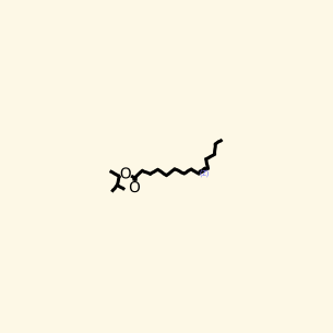 CCCC/C=C\CCCCCCCC(=O)OC(C)C(C)C